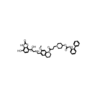 COc1cc2c(cc1CNC[C@H](O)c1ccc(O)c3[nH]c(=O)sc13)CCCN2C(=O)CCN1CCC(OC(=O)Nc2ccccc2-c2ccccc2)CC1